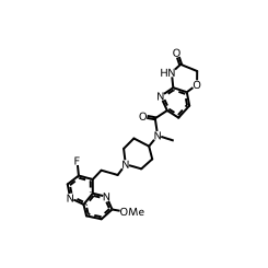 COc1ccc2ncc(F)c(CCN3CCC(N(C)C(=O)c4ccc5c(n4)NC(=O)CO5)CC3)c2n1